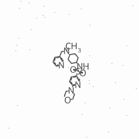 CN(Cc1cccnc1)C1CCC(NS(=O)(=O)c2ccc(N3CCOCC3)nc2)CC1